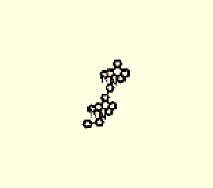 c1ccc(-c2cccc(-n3c4ccc5cccc6c5c4c4c(cc5cccnc5c43)-c3ccc(-c4ccc(-n5c7ccc8cccc9c8c7c7c(cc8cccnc8c75)-c5ccccc5-9)cc4)cc3-6)c2)cc1